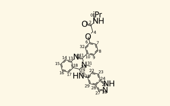 CC(C)NC(=O)COc1cccc(C2=Nc3ccccc3C(Nc3ccc4[nH]ncc4c3)N2C)c1